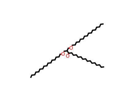 CCCCCCCCCCCCCCCCOCC(COCCCCCCCCCCCCCCCC)C(=O)CCCCCCCCCCCCCCC